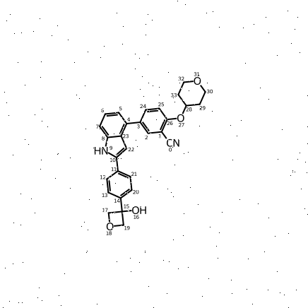 N#Cc1cc(-c2cccc3[nH]c(-c4ccc(C5(O)COC5)cc4)cc23)ccc1OC1CCOCC1